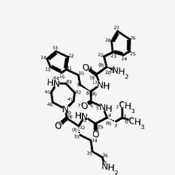 CC(C)C[C@@H](NC(=O)[C@@H](CCc1ccccc1)NC(=O)[C@H](N)Cc1ccccc1)C(=O)N[C@H](CCCCN)C(=O)N1CCCNCC1